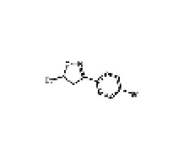 CCC1CC(c2ccc(Br)cc2)=NO1